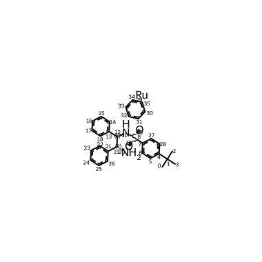 CC(C)(C)c1ccc(S(=O)(=O)N[C@H](c2ccccc2)[C@H](N)c2ccccc2)cc1.[Ru].c1ccccc1